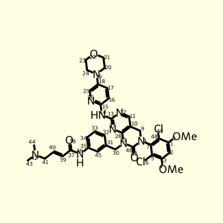 COc1cc(OC)c(Cl)c(N2Cc3cnc(Nc4ccc(N5CCOCC5)cn4)nc3N(Cc3cccc(NC(=O)/C=C/CN(C)C)c3)C2=O)c1Cl